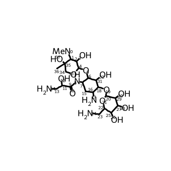 CNC1C(O)C(OC2C(NC(=O)C(O)CN)CC(N)C(OC3OC(CN)C(O)C(O)C3O)C2O)OCC1(C)O